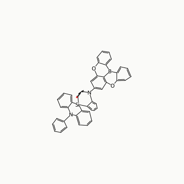 c1ccc(N2c3ccccc3[Si]3(c4ccccc42)c2ccccc2N(c2cc4c5c(c2)Oc2ccccc2B5c2ccccc2O4)c2ccccc23)cc1